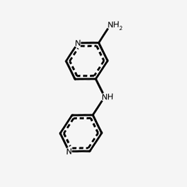 Nc1cc(Nc2ccncc2)ccn1